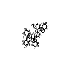 CN1CCC(C(=O)N2CCN(C(=O)C(C)(Nc3ccccc3)C(c3ccccc3)c3ccccc3)CC2)(c2ccccc2)CC1